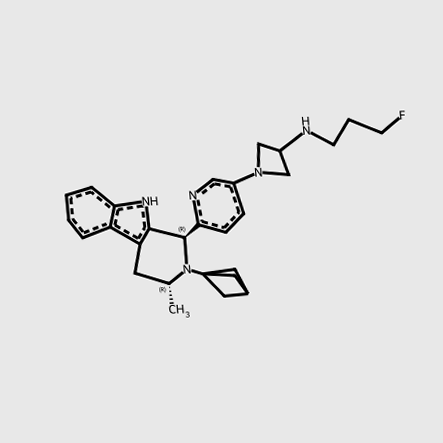 C[C@@H]1Cc2c([nH]c3ccccc23)[C@@H](c2ccc(N3CC(NCCCF)C3)cn2)N1C12CC(C1)C2